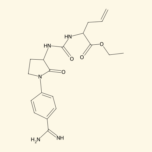 C=CCC(NC(=O)NC1CCN(c2ccc(C(=N)N)cc2)C1=O)C(=O)OCC